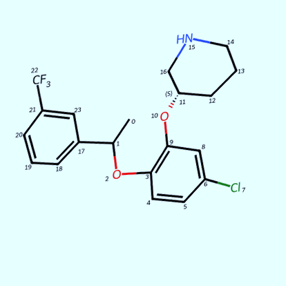 CC(Oc1ccc(Cl)cc1O[C@H]1CCCNC1)c1cccc(C(F)(F)F)c1